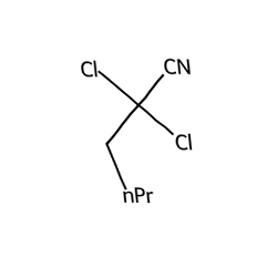 CCCCC(Cl)(Cl)C#N